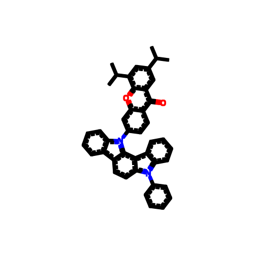 CC(C)c1cc(C(C)C)c2oc3cc(-n4c5ccccc5c5ccc6c(c7ccccc7n6-c6ccccc6)c54)ccc3c(=O)c2c1